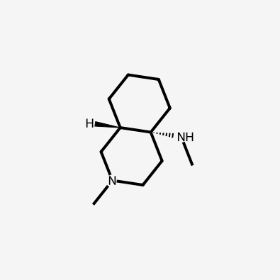 CN[C@@]12CCCC[C@H]1CN(C)CC2